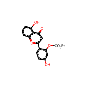 CCOC(=O)Oc1cc(O)ccc1-c1cc(=O)c2c(O)cccc2o1